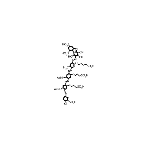 CC(=O)Nc1cc(N=Nc2cc(SCCCS(=O)(=O)O)c(N=Nc3cc(OCCCCS(=O)(=O)O)c(N=Nc4c(C)c(C#N)c5nc6cc(S(=O)(=O)O)cc(S(=O)(=O)O)c6n5c4O)cc3C)cc2NC(C)=O)c(SCCCS(=O)(=O)O)cc1N=Nc1ccc(Cl)c(S(=O)(=O)O)c1